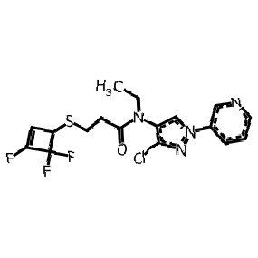 CCN(C(=O)CCSC1C=C(F)C1(F)F)c1cn(-c2cccnc2)nc1Cl